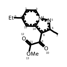 CCc1ccn2nc(C)c(C(=O)C(=O)OC)c2c1